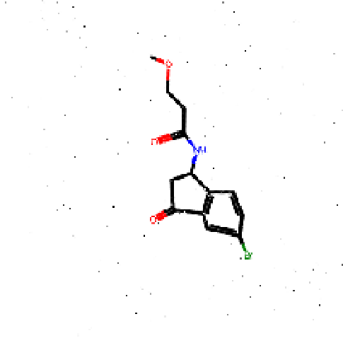 COCCC(=O)NC1CC(=O)c2cc(Br)ccc21